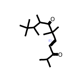 CC(C)C(=O)/C=C/C(C)(C)C(=O)C(C)C(C)C(C)(C)C